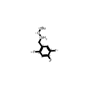 CC(C)(C)O[SiH2]Cc1cc(F)c(F)cc1F